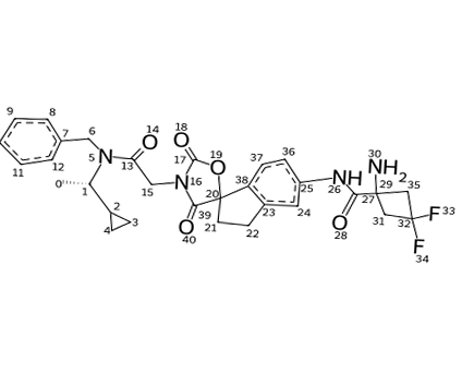 C[C@@H](C1CC1)N(Cc1ccccc1)C(=O)CN1C(=O)OC2(CCc3cc(NC(=O)C4(N)CC(F)(F)C4)ccc32)C1=O